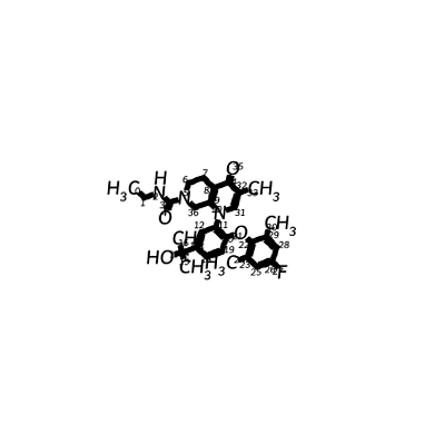 CCNC(=O)N1CCc2c(n(-c3cc(C(C)(C)O)ccc3Oc3c(C)cc(F)cc3C)cc(C)c2=O)C1